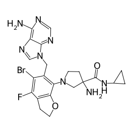 Nc1ncnc2c1ncn2Cc1c(Br)c(F)c2c(c1N1CCC(N)(C(=O)NC3CC3)C1)OCC2